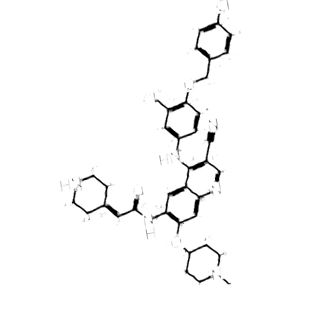 CN1CCC(Oc2cc3ncc(C#N)c(Nc4ccc(OCc5ccc(Cl)cc5)c(Cl)c4)c3cc2NC(=O)C=C2CCNCC2)CC1